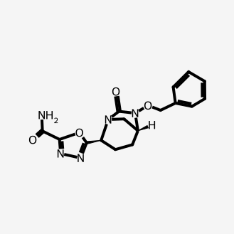 NC(=O)c1nnc([C@@H]2CC[C@@H]3CN2C(=O)N3OCc2ccccc2)o1